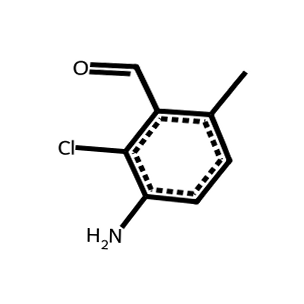 Cc1ccc(N)c(Cl)c1C=O